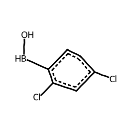 OBc1ccc(Cl)cc1Cl